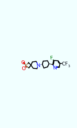 O=S1(=O)CC2(CCN([C@H]3CC[C@H](c4ncc(C(F)(F)F)cc4F)CC3)CC2)C1